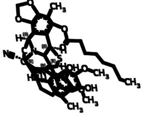 CCCCCCCC(=O)Oc1c(C)c2c(c3c1[C@H]1SC[C@]4(NCCc5cc(O)c(OC)cc54)C(=O)OC[C@@H]3N3C1[C@@H]1NC(Cc4cc(C)c(OC)c(O)c41)[C@@H]3C#N)OCO2